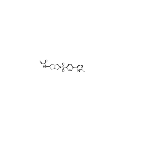 C=CC(=O)NC1CC2CN(S(=O)(=O)c3ccc(-c4csc(C)n4)cc3)CC2C1